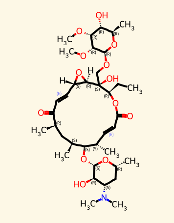 CC[C@H]1OC(=O)/C=C/[C@H](C)[C@@H](O[C@@H]2O[C@H](C)C[C@H](N(C)C)[C@H]2O)[C@@H](C)C[C@@H](C)C(=O)/C=C/[C@@H]2O[C@H]2[C@]1(O)CO[C@@H]1O[C@H](C)[C@@H](O)[C@@H](OC)[C@H]1OC